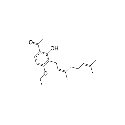 CCOc1ccc(C(C)=O)c(O)c1CC=C(C)CCC=C(C)C